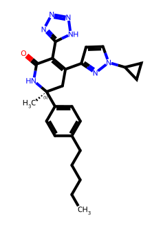 CCCCCc1ccc([C@]2(C)CC(c3ccn(C4CC4)n3)=C(c3nnn[nH]3)C(=O)N2)cc1